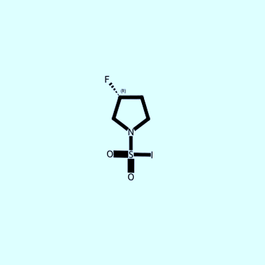 O=S(=O)(I)N1CC[C@@H](F)C1